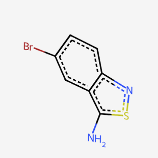 Nc1snc2ccc(Br)cc12